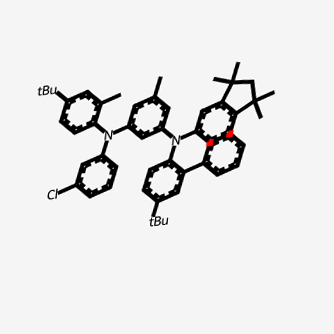 Cc1cc(N(c2cccc(Cl)c2)c2ccc(C(C)(C)C)cc2C)cc(N(c2ccc3c(c2)C(C)(C)CC3(C)C)c2ccc(C(C)(C)C)cc2-c2ccccc2)c1